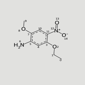 CCOc1cc(N)c(OC)cc1[N+](=O)[O-]